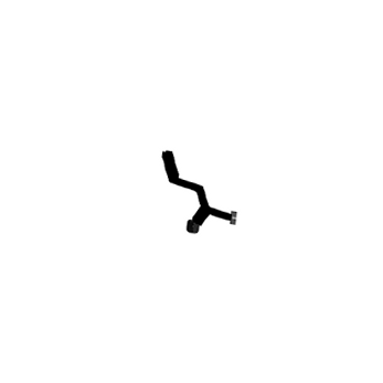 [C]C(=O)CC=C